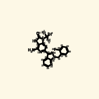 [2H]C([2H])([2H])n1c(=O)[nH]c2c(N)nc(-c3nn(Cc4ccccc4F)c4ncccc34)nc21